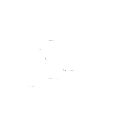 Cc1nc(Cl)c2c(n1)N(Cc1cccnc1)C(=O)CO2